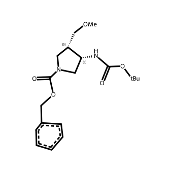 COC[C@H]1CN(C(=O)OCc2ccccc2)C[C@H]1NC(=O)OC(C)(C)C